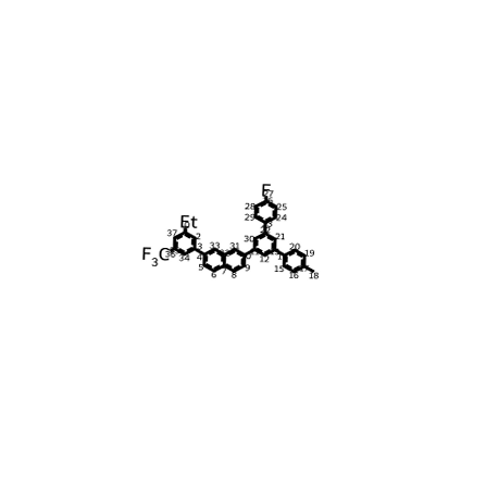 CCc1cc(-c2ccc3ccc(-c4cc(-c5ccc(C)cc5)cc(-c5ccc(F)cc5)c4)cc3c2)cc(C(F)(F)F)c1